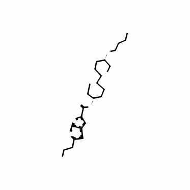 CCCCO[C@H]1CC[C@H]([C@H]2CC[C@H](OC(=O)c3cc4cc(CCC)sc4s3)CC2)CC1